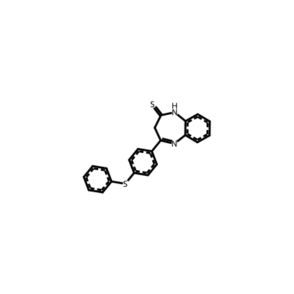 S=C1CC(c2ccc(Sc3ccccc3)cc2)=Nc2ccccc2N1